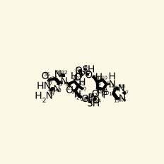 C[C@H]1[C@H]2OP(=O)(S)OC[C@H]3C[C@@H](Nc4ccncn4)[C@H](F)[C@@H]3OP(=O)(S)OC[C@H]1O[C@H]2n1cnc2c(=O)[nH]c(N)nc21